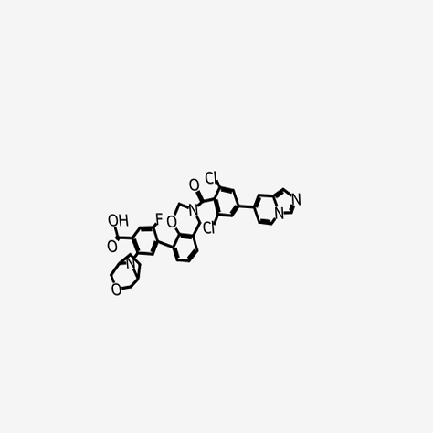 O=C(O)c1cc(F)c(-c2cccc3c2OCN(C(=O)c2c(Cl)cc(-c4ccn5cncc5c4)cc2Cl)C3)cc1N1C2CCC1COC2